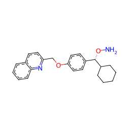 NO[C@@H](c1ccc(OCc2ccc3ccccc3n2)cc1)C1CCCCC1